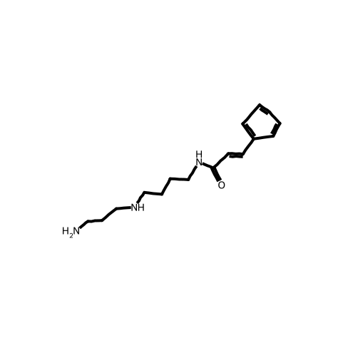 NCCCNCCCCNC(=O)C=Cc1ccccc1